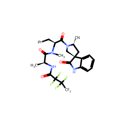 CC(C)C[C@@H](C(=O)N1C[C@]2(C[C@H]1C#N)C(=O)Nc1ccccc12)N(C)C(=O)[C@H](C)NC(=O)C(F)(F)C(F)(F)C(F)(F)F